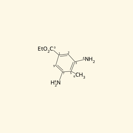 CCOC(=O)c1cc(N)c(C)c(N)c1